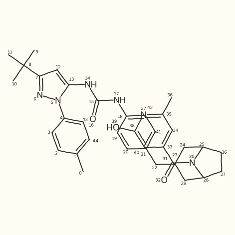 Cc1ccc(-n2nc(C(C)(C)C)cc2NC(=O)Nc2ccc(CC3CC4CCC(C3)N4C(=O)c3cc(C)nc(O)c3)cc2)cc1